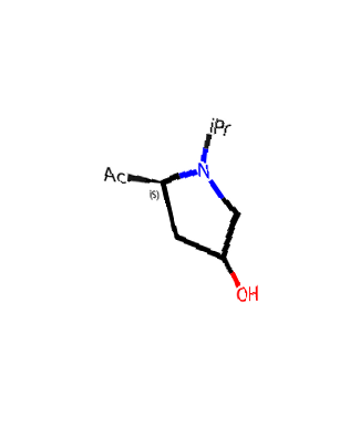 CC(=O)[C@@H]1CC(O)CN1C(C)C